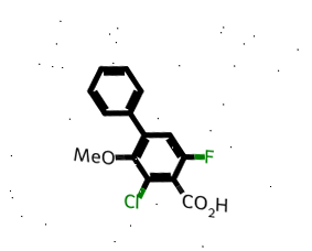 COc1c(-c2ccccc2)cc(F)c(C(=O)O)c1Cl